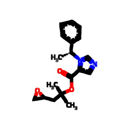 C[C@H](c1ccccc1)n1cncc1C(=O)OC(C)(C)CC1CO1